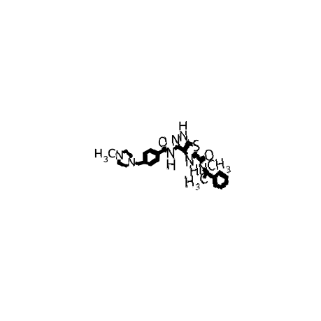 CN1CCN(Cc2ccc(C(=O)Nc3n[nH]c4sc(C(=O)NC(C)(C)c5ccccc5)nc34)cc2)CC1